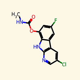 CNC(=O)Oc1cc(F)cc2c1[nH]c1ncc(Cl)cc12